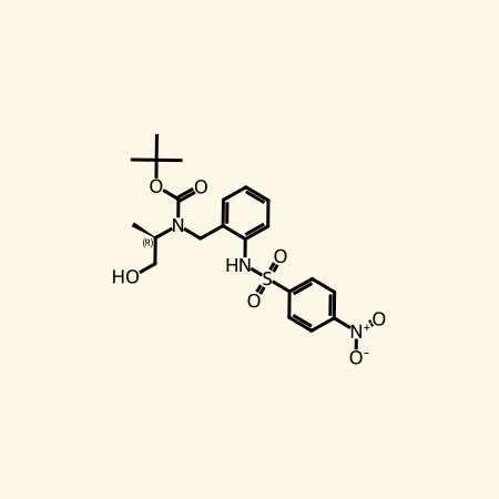 C[C@H](CO)N(Cc1ccccc1NS(=O)(=O)c1ccc([N+](=O)[O-])cc1)C(=O)OC(C)(C)C